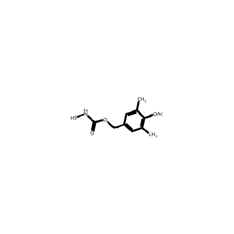 CC(=O)Oc1c(C)cc(COC(=O)NS)cc1C